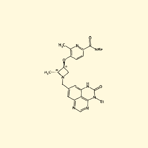 CCN1C(=O)Nc2cc(CN3C[C@H](Oc4ccc(C(=O)NC)nc4C)[C@H]3C)cc3ncnc1c23